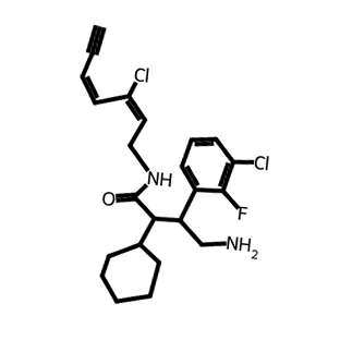 C#C/C=C\C(Cl)=C/CNC(=O)C(C1CCCCC1)C(CN)c1cccc(Cl)c1F